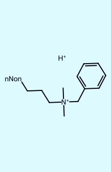 CCCCCCCCCCCC[N+](C)(C)Cc1ccccc1.[H+]